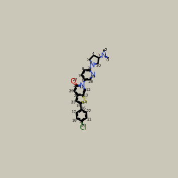 CN(C)C1CCN(c2ccc(-n3cc4sc(-c5ccc(Cl)cc5)cc4cc3=O)cn2)C1